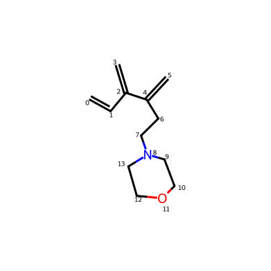 C=CC(=C)C(=C)CCN1CCOCC1